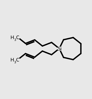 CC=CCC[Si]1(CCC=CC)CCCCCC1